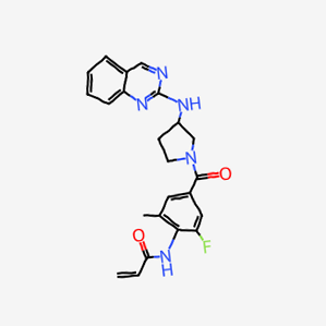 C=CC(=O)Nc1c(C)cc(C(=O)N2CCC(Nc3ncc4ccccc4n3)C2)cc1F